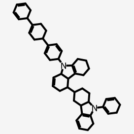 C1=CCC(C2=CCC(C3=CCC(N4C5=C(CCCC5)C5C(C6CCC7C(C6)C6=C(CCC=C6)N7C6=CCCC=C6)CC=CC54)C=C3)CC2)C=C1